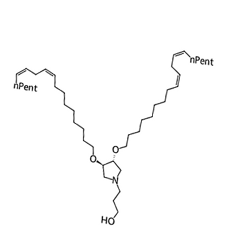 CCCCC/C=C\C/C=C\CCCCCCCCO[C@@H]1CN(CCCO)C[C@H]1OCCCCCCCC/C=C\C/C=C\CCCCC